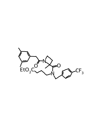 CCOC(=O)CCCN(Cc1ccc(C(F)(F)F)cc1)C(=O)C1(C)CCN1C(=O)Cc1cc(C)cc(C)c1